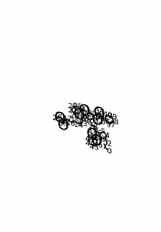 CCCC1CCC([C@@H](/C=C/[C@@H]2[C@@H](C/C=C\CCCC(=O)OC)[C@@H](OC3CCCCO3)C[C@H]2OC(=O)c2ccccc2)OC2CCCCO2)C1